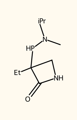 CCC1(PN(C)C(C)C)CNC1=O